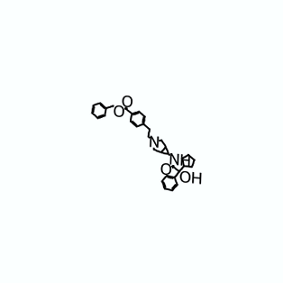 O=C(OCc1ccccc1)c1ccc(CCN2CC3C(C2)C3NC(=O)C(O)(c2ccccc2)C2CCCC2)cc1